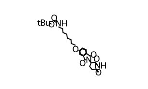 CC(C)(C)OC(=O)NCCCCCCCCOc1ccc2c(c1)C(=O)N(C1CCC(=O)NC1=O)C2=O